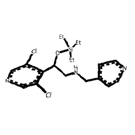 CC[Si](CC)(CC)OC(CNCc1ccncc1)c1c(Cl)cncc1Cl